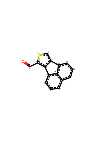 O=Cc1scc2c1-c1cccc3cccc-2c13